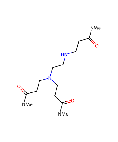 CNC(=O)CCNCCN(CCC(=O)NC)CCC(=O)NC